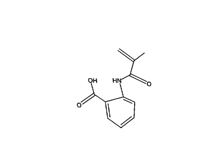 C=C(C)C(=O)Nc1ccccc1C(=O)O